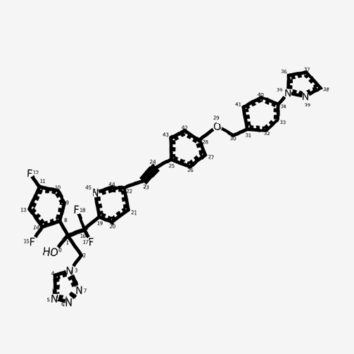 OC(Cn1cnnn1)(c1ccc(F)cc1F)C(F)(F)c1ccc(C#Cc2ccc(OCc3ccc(-n4cccn4)cc3)cc2)cn1